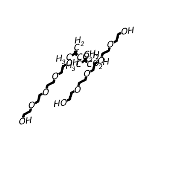 C=C(C)C(=O)O.C=C(C)C(=O)O.OCCOCCOCCOCCO.OCCOCCOCCOCCOCCO